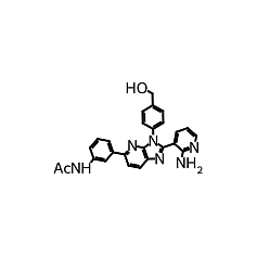 CC(=O)Nc1cccc(-c2ccc3nc(-c4cccnc4N)n(-c4ccc(CO)cc4)c3n2)c1